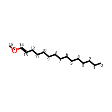 CCCCCCCCCCCCCC=COC